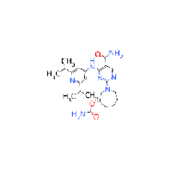 CC(C)c1cc(Nc2nc(N3CCCCC(OC(N)=O)C3)ncc2C(N)=O)cc(C(C)C)n1